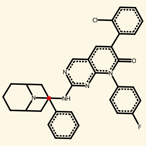 O=c1c(-c2ccccc2Cl)cc2cnc(NC3CC4CCCC(C3)N4Cc3ccccc3)nc2n1-c1ccc(F)cc1